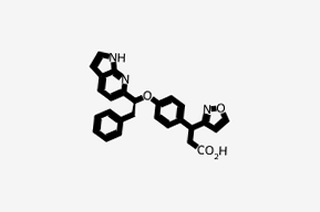 O=C(O)CC(c1ccc(O[C@@H](Cc2ccccc2)c2ccc3cc[nH]c3n2)cc1)c1ccon1